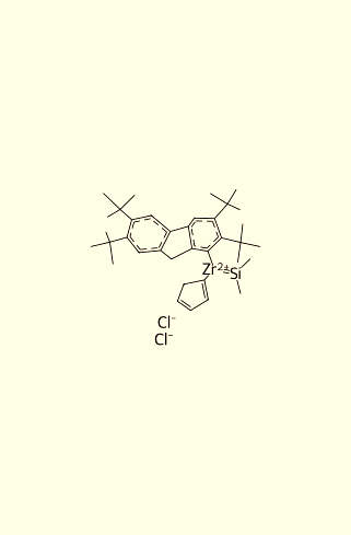 C[Si](C)=[Zr+2]([C]1=CC=CC1)[c]1c2c(cc(C(C)(C)C)c1C(C)(C)C)-c1cc(C(C)(C)C)c(C(C)(C)C)cc1C2.[Cl-].[Cl-]